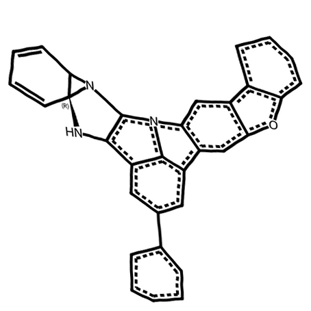 C1=CC2N3c4c(c5cc(-c6ccccc6)cc6c7cc8oc9ccccc9c8cc7n4c56)N[C@@]23C=C1